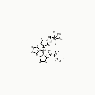 CCOC(=O)C(C#N)NO[P+](N1CCCC1)(N1CCCC1)N1CCCC1.F[P-](F)(F)(F)(F)F